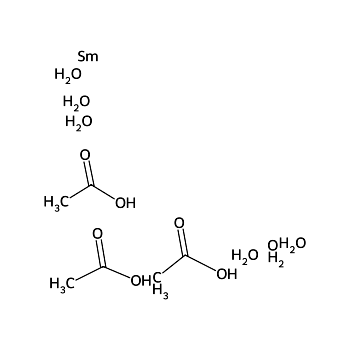 CC(=O)O.CC(=O)O.CC(=O)O.O.O.O.O.O.O.[Sm]